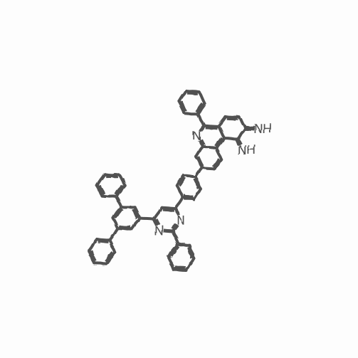 N=C1C=Cc2c(-c3ccccc3)nc3cc(-c4ccc(-c5cc(-c6cc(-c7ccccc7)cc(-c7ccccc7)c6)nc(-c6ccccc6)n5)cc4)ccc3c2C1=N